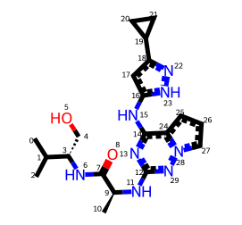 CC(C)[C@H](CO)NC(=O)[C@H](C)Nc1nc(Nc2cc(C3CC3)n[nH]2)c2cccn2n1